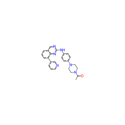 CC(=O)N1CCN(c2ccc(Nc3ncc4cccc(-c5cccnc5)c4n3)cc2)CC1